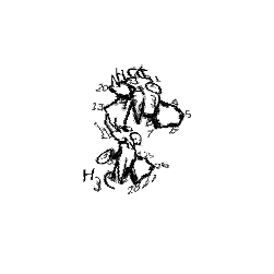 CCOc1ccccc1NC(=O)N(Cc1ccc(Cl)nc1)Cc1nc2ccccc2n(C)c1=O